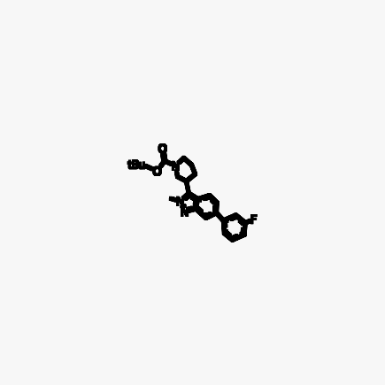 Cn1nc2cc(-c3cccc(F)c3)ccc2c1C1CCCN(C(=O)OC(C)(C)C)C1